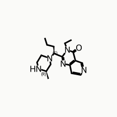 CCC[C@@H](c1nc2ccncc2c(=O)n1CC)N1CCN[C@H](C)C1